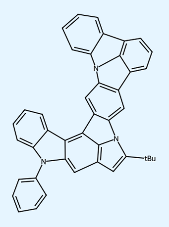 CC(C)(C)c1cc2cc3c(c4ccccc4n3-c3ccccc3)c3c4cc5c(cc4n1c23)c1cccc2c3ccccc3n5c21